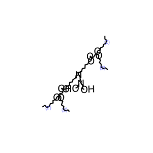 CC/C=C\CCCCOC(CCC(=O)OCCCCCCCN(CCCCCCCOC(=O)CCC(OCCCC/C=C\CC)OCCCC/C=C\CC)CCCN(CCO)CCO)OCCCC/C=C\CC